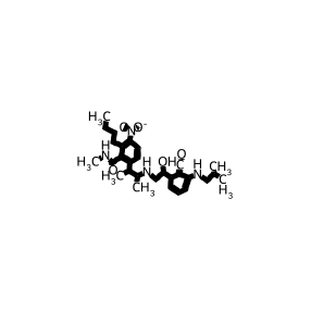 CCCCc1c([N+](=O)[O-])ccc(C(C)C(C)NCC(O)C2C=CC=C(NCC(C)C)C2=C=O)c1C(=O)NC